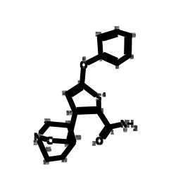 NC(=O)c1sc(Oc2ccccc2)cc1C1CN2CCC1CC2